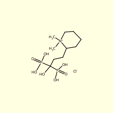 C[N+]1(C)CCCCC1CCC(O)(P(=O)(O)O)P(=O)(O)O.[Cl-]